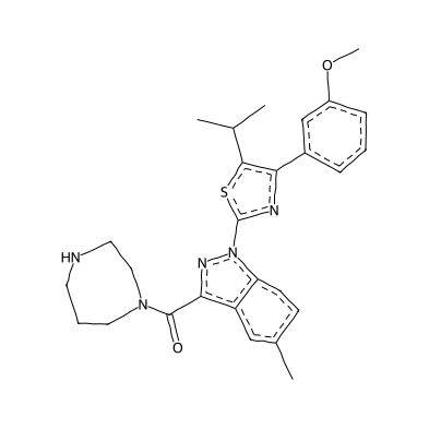 COc1cccc(-c2nc(-n3nc(C(=O)N4CCCNCC4)c4cc(C)ccc43)sc2C(C)C)c1